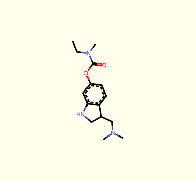 CCN(C)C(=O)Oc1ccc2c(c1)NCC2CN(C)C